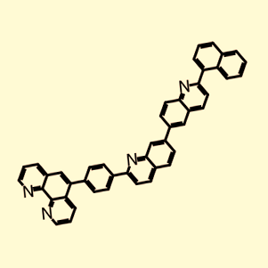 c1ccc2c(-c3ccc4cc(-c5ccc6ccc(-c7ccc(-c8cc9cccnc9c9ncccc89)cc7)nc6c5)ccc4n3)cccc2c1